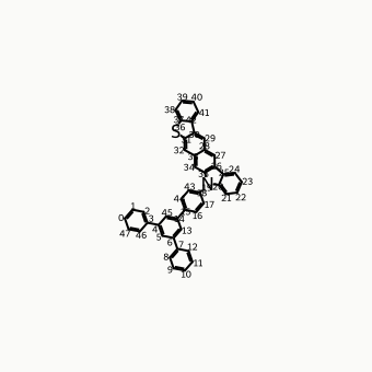 c1ccc(-c2cc(-c3ccccc3)cc(-c3ccc(-n4c5ccccc5c5cc6cc7c(cc6cc54)sc4ccccc47)cc3)c2)cc1